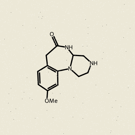 COc1ccc2c(c1)N1CCNCC1NC(=O)C2